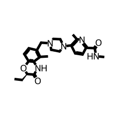 CC[C@H]1Oc2ccc(CN3CCN(c4ccc(C(=O)NC)nc4C)CC3)c(C)c2NC1=O